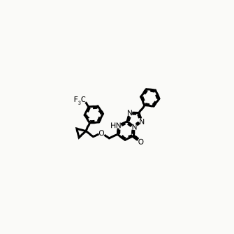 O=c1cc(COCC2(c3cccc(C(F)(F)F)c3)CC2)[nH]c2nc(-c3ccccc3)nn12